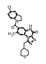 Cc1cc2c(cc1C(=O)N1CCc3cc(Cl)ccc31)[nH]c(=O)c1nnc(CC3CCSCC3)n12